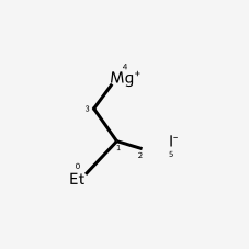 CCC(C)[CH2][Mg+].[I-]